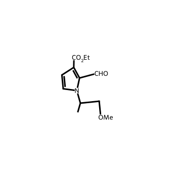 CCOC(=O)c1ccn(C(C)COC)c1C=O